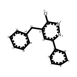 Clc1nnc(-c2ccccc2)cc1Cc1ccccc1